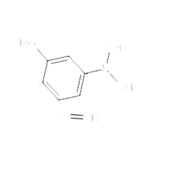 C=O.CN(C)c1cccc(O)c1